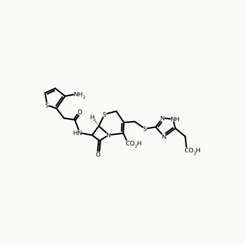 Nc1ccsc1CC(=O)NC1C(=O)N2C(C(=O)O)=C(CSc3n[nH]c(CC(=O)O)n3)CS[C@H]12